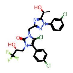 C[C@H](O)c1nc(Cn2c(Cl)c(-c3ccc(Cl)cc3)n(C[C@H](O)C(F)(F)F)c2=O)nn1-c1cccc(Cl)c1